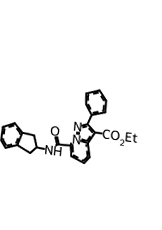 CCOC(=O)c1c(-c2ccccc2)nn2c(C(=O)NC3Cc4ccccc4C3)cccc12